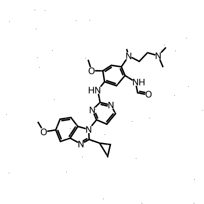 COc1ccc2c(c1)nc(C1CC1)n2-c1ccnc(Nc2cc(NC=O)c(N(C)CCN(C)C)cc2OC)n1